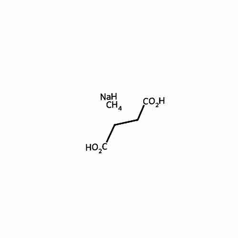 C.O=C(O)CCC(=O)O.[NaH]